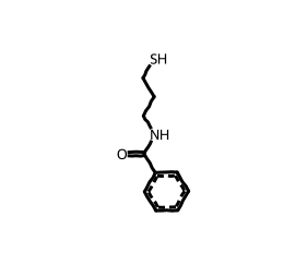 O=C(NCCCS)c1ccccc1